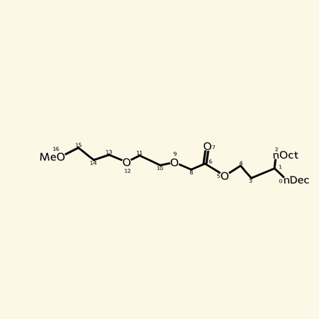 CCCCCCCCCCC(CCCCCCCC)CCOC(=O)COCCOCCCOC